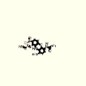 CCCC(=O)Nc1ccc(CCC)c2c1Oc1ccc(N(CC)CC)c(N=NC=N)c1N2